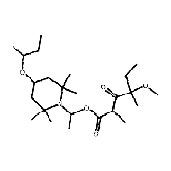 CCC(C)OC1CC(C)(C)N(C(C)OC(=O)C(C)C(=O)C(C)(CC)OC)C(C)(C)C1